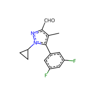 Cc1c(C=O)nn(C2CC2)c1-c1cc(F)cc(F)c1